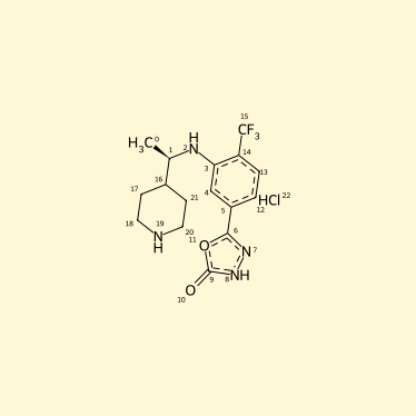 C[C@@H](Nc1cc(-c2n[nH]c(=O)o2)ccc1C(F)(F)F)C1CCNCC1.Cl